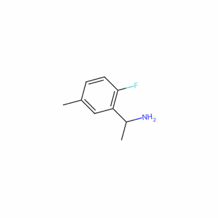 Cc1ccc(F)c(C(C)N)c1